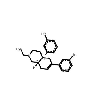 CCN1CC[C@@]2(c3cccc(O)c3)CC(c3cccc(Br)c3)=CC[C@@H]2C1